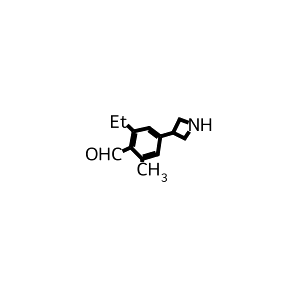 CCc1cc(C2CNC2)cc(C)c1C=O